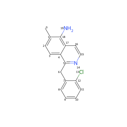 Cc1ccc2c(Cc3ccccc3Cl)nccc2c1N